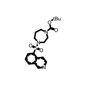 CC(C)(C)OC(=O)N1CCCN(S(=O)(=O)c2cccc3cnccc23)CC1